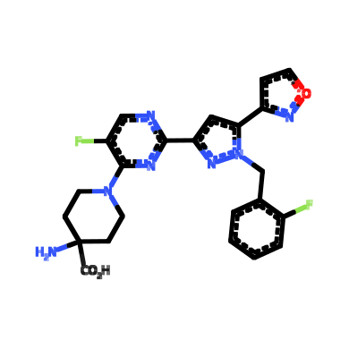 NC1(C(=O)O)CCN(c2nc(-c3cc(-c4ccon4)n(Cc4ccccc4F)n3)ncc2F)CC1